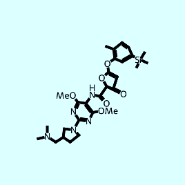 COc1nc(N2CCC(CN(C)C)C2)nc(OC)c1NC(=O)C1OC(Oc2cc([Si](C)(C)C)ccc2C)=CC1=O